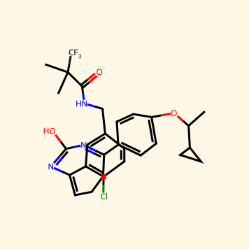 CC(Oc1ccc(/C2=N/C(O)=N\C(c3cc(CNC(=O)C(C)(C)C(F)(F)F)ccc3Cl)=C\CC2)cc1)C1CC1